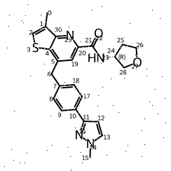 Cc1csc2c(Cc3ccc(-c4ccn(C)n4)cc3)cc(C(=O)N[C@@H]3CCOC3)nc12